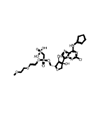 COCCOCCOP(=O)(CP(=O)(O)O)OC[C@H]1OC[C@@](O)(c2cnc3c(NC4CCCC4)nc(Cl)nn23)[C@@H]1O